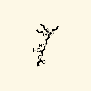 C=CC(=O)OCC(O)CNCCC[Si](OCCC)(OCCC)OCCC